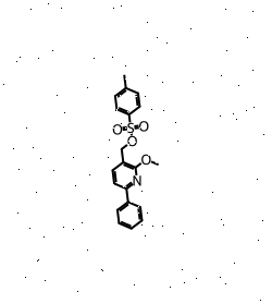 COc1nc(-c2ccccc2)ccc1COS(=O)(=O)c1ccc(C)cc1